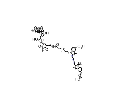 CC[N+]1=C(/C=C/C=C/C=C2/N(CCCSSCCC(=O)NCC#Cc3cn([C@H]4CC(O)[C@@H](COP(=O)(O)OP(=O)(O)OP(=O)(O)O)O4)c(=O)[nH]c3=O)c3ccc(S(=O)(=O)O)cc3C2(C)C)C(C)(C)c2cc(SOOO)ccc21